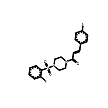 O=C(C=Cc1ccc(F)cc1)N1CCN(S(=O)(=O)c2ccccc2F)CC1